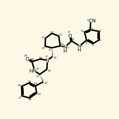 N#Cc1cccc(NC(=O)N[C@@H]2CCCC[C@H]2CN2CC(=O)N[C@@H](Cc3ccccc3)C2)c1